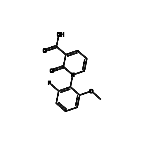 COc1cccc(F)c1-n1cccc(C(=O)O)c1=O